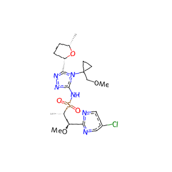 COCC1(n2c(NS(=O)(=O)[C@@H](C)[C@H](OC)c3ncc(Cl)cn3)nnc2[C@@H]2CC[C@H](C)O2)CC1